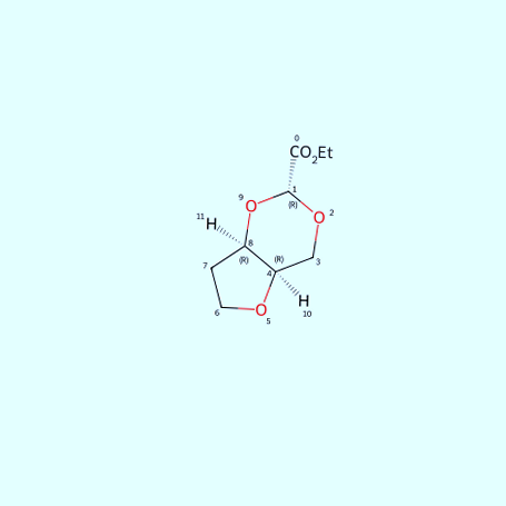 CCOC(=O)[C@@H]1OC[C@H]2OCC[C@H]2O1